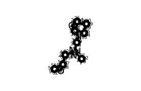 c1ccc(-c2nc(-c3ccc(-n4c5cccc6c7ccccc7c7cccc8oc9ccc4c(c9c87)c65)cc3)nc(-c3cccc(-c4ccc5oc6ccccc6c5c4)c3)n2)cc1